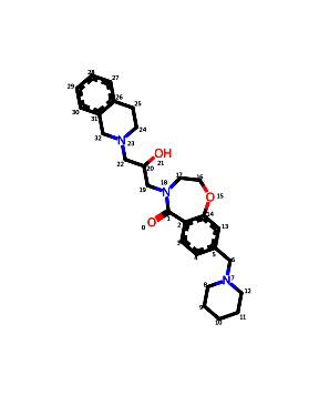 O=C1c2ccc(CN3CCCCC3)cc2OCCN1CC(O)CN1CCc2ccccc2C1